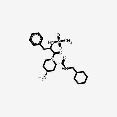 CS(=O)(=O)N[C@H](Cc1ccccc1)C(=O)N1CC[C@H](N)C[C@H]1C(=O)NCC1CCCCC1